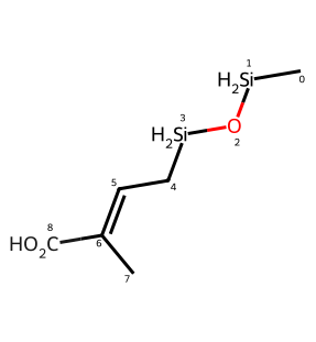 C[SiH2]O[SiH2]CC=C(C)C(=O)O